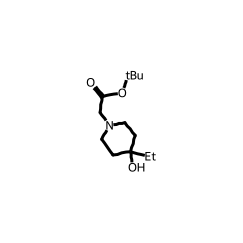 CCC1(O)CCN(CC(=O)OC(C)(C)C)CC1